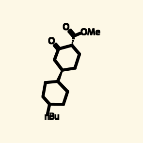 CCCCC1CCC([C@@H]2CC[C@@H](C(=O)OC)C(=O)C2)CC1